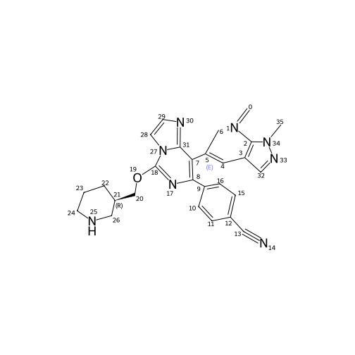 C=Nc1c(/C=C(\C)c2c(-c3ccc(C#N)cc3)nc(OC[C@@H]3CCCNC3)n3ccnc23)cnn1C